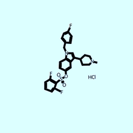 CN1CCC(c2cn(Cc3ccc(F)cc3)c3ccc(OS(=O)(=O)c4c(F)cccc4F)cc23)CC1.Cl